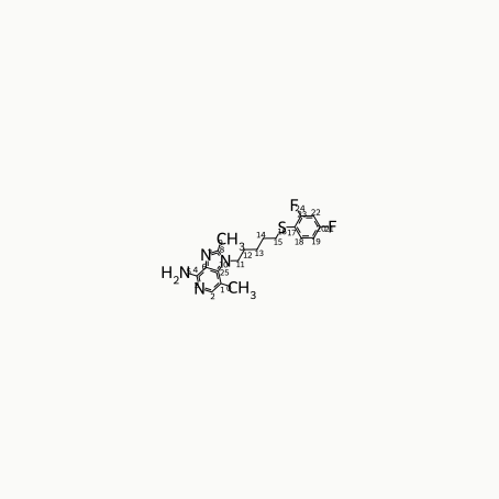 Cc1cnc(N)c2nc(C)n(CCCCCSc3ccc(F)cc3F)c12